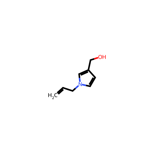 C=CCn1ccc(CO)c1